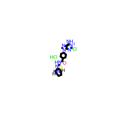 Cl.Nc1nc(Cl)nc2c1ncn2C1CCC(C(=O)Nc2nc3c(s2)[C@H]2CC[C@@H](C3)N2)CC1